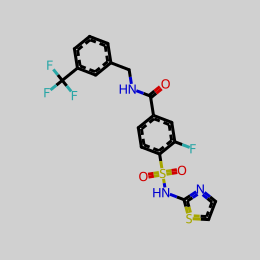 O=C(NCc1cccc(C(F)(F)F)c1)c1ccc(S(=O)(=O)Nc2nccs2)c(F)c1